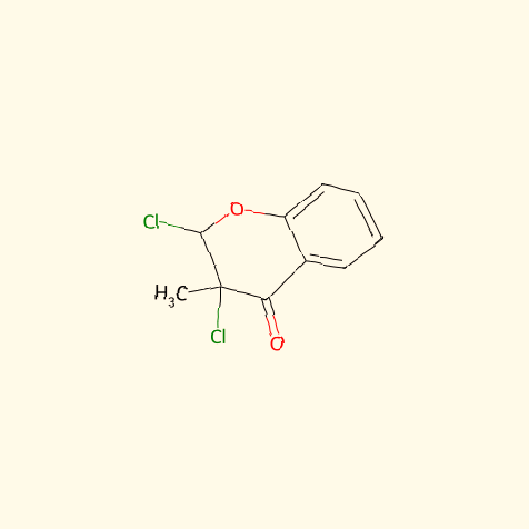 CC1(Cl)C(=O)c2ccccc2OC1Cl